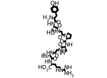 CC[C@H](C)[C@H](NC(=O)CNC(=O)[C@H](CC(C)C)NC(=O)[C@@H]1CCCN1C(=O)CNC(=O)[C@H](CO)NC(=O)[C@@H](N)Cc1ccc(O)cc1)C(=O)N[C@@H](CCCNC(=N)N)C(=O)O